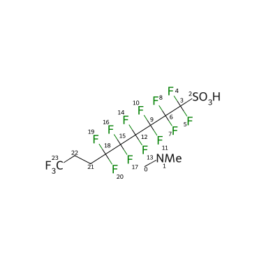 CNC.O=S(=O)(O)C(F)(F)C(F)(F)C(F)(F)C(F)(F)C(F)(F)C(F)(F)CCC(F)(F)F